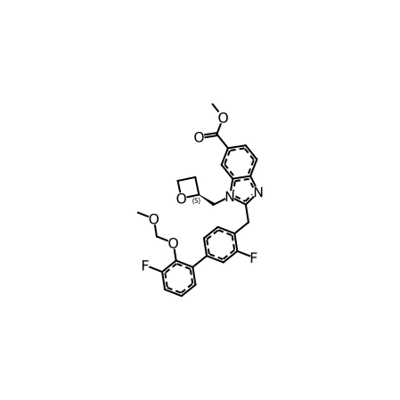 COCOc1c(F)cccc1-c1ccc(Cc2nc3ccc(C(=O)OC)cc3n2C[C@@H]2CCO2)c(F)c1